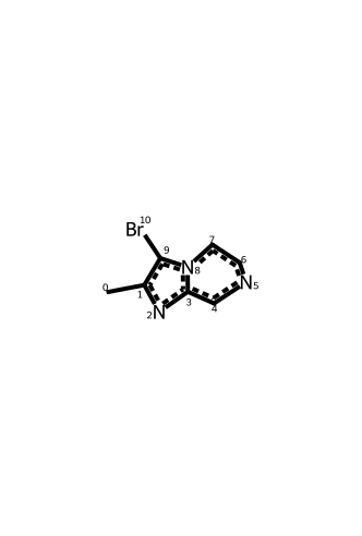 Cc1nc2cnccn2c1Br